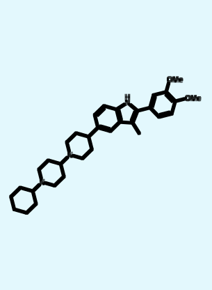 COc1ccc(-c2[nH]c3ccc(C4CCN(C5CCN(C6CCCCC6)CC5)CC4)cc3c2C)cc1OC